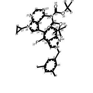 Cc1cc(C)cc(Cn2cc3c(F)c(-c4cn(C5CC5)c5ncnc(N(C(=O)OC(C)(C)C)C(=O)OC(C)(C)C)c45)ccc3n2)c1